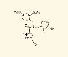 COc1ccc(CN(Cc2cccc(Br)c2C)C(=O)c2cc(C3CC3)nn2C)c(OC)c1